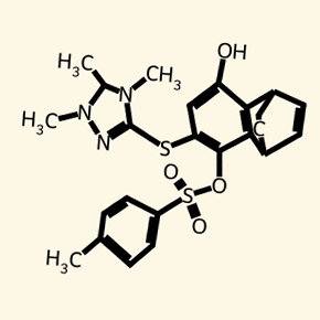 Cc1ccc(S(=O)(=O)Oc2c(SC3=NN(C)C(C)N3C)cc(O)c3c2C2C=CC3CC2)cc1